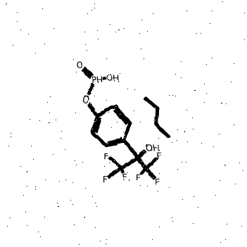 CCCC.O=[PH](O)Oc1ccc(C(O)(C(F)(F)F)C(F)(F)F)cc1